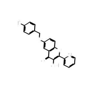 O=c1c(O)c(-c2ccccn2)oc2ccc(SCc3ccc(F)cc3)cc12